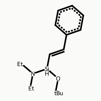 CCN(CC)[SiH](C=Cc1ccccc1)OC(C)(C)C